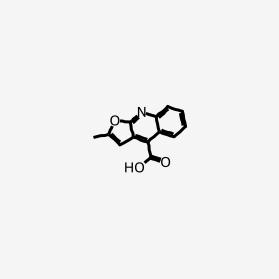 Cc1cc2c(C(=O)O)c3ccccc3nc2o1